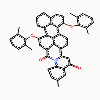 Cc1ccc2c(c1)c(=O)cc1c3ccc4c5c(Oc6c(C)cccc6C)ccc6cccc(c7c(Oc8c(C)cccc8C)cc(c(=O)n21)c3c47)c65